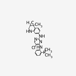 CP(C)c1ccccc1Nc1nc(Nc2ccc3c(c2)NCCC3(C)C)ncc1Cl